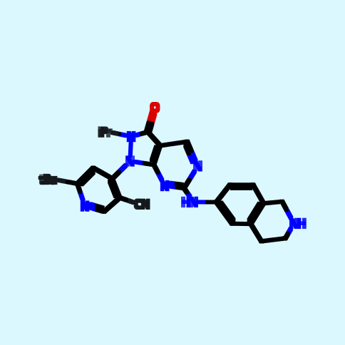 CC(C)n1c(=O)c2cnc(Nc3ccc4c(c3)CCNC4)nc2n1-c1cc(C(C)(C)C)ncc1C#N